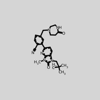 Cn1c(=O)n(CC(C)(C)C)c2ccc(-c3cc(CN4CCNC(=O)CC4)ccc3C#N)nc21